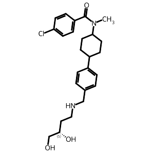 CN(C(=O)c1ccc(Cl)cc1)C1CCC(c2ccc(CNCC[C@H](O)CO)cc2)CC1